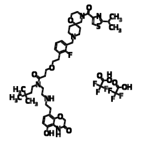 CC(C)c1nc(C(=O)N2CCOC3(CCN(Cc4cccc(CCOCCC(=O)N(CCNCCc5ccc(O)c6c5OCC(=O)N6)CCC(C)(C)C)c4F)CC3)C2)cs1.O=C(O)C(F)(F)F.O=C(O)C(F)(F)F